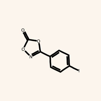 O=c1onc(-c2ccc(I)cc2)o1